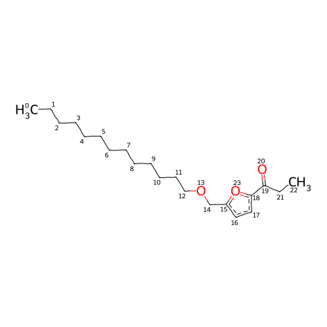 CCCCCCCCCCCCCOCc1ccc(C(=O)CC)o1